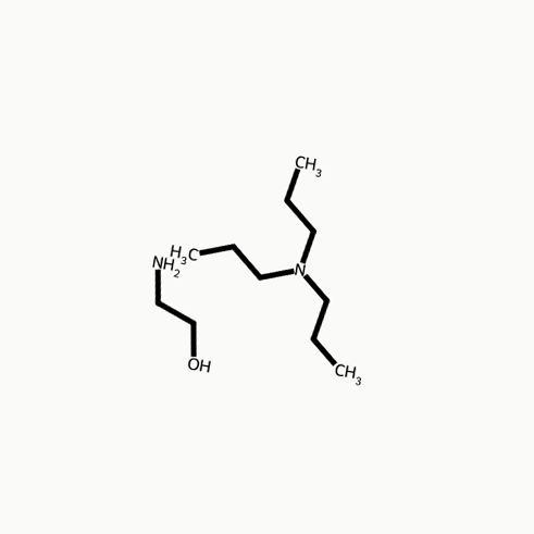 CCCN(CCC)CCC.NCCO